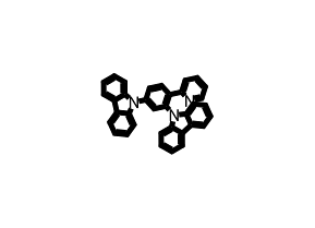 c1ccc(-c2ccc(-n3c4ccccc4c4ccccc43)cc2-n2c3ccccc3c3ccccc32)nc1